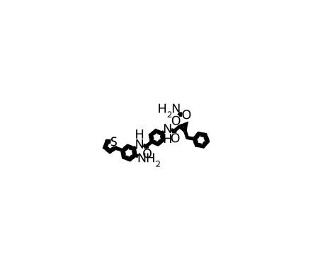 NC(=O)OC1(C(=O)Nc2ccc(C(=O)Nc3cc(-c4cccs4)ccc3N)cc2)CC1Cc1ccccc1